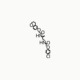 C=C(CCNC(=O)COc1ccc(Cl)cc1)NC(=O)COc1ccc2c(c1)CCCO2